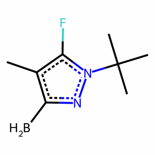 Bc1nn(C(C)(C)C)c(F)c1C